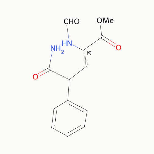 COC(=O)[C@H](CC(C(N)=O)c1ccccc1)NC=O